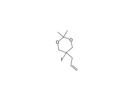 C=CCC1(F)COC(C)(C)OC1